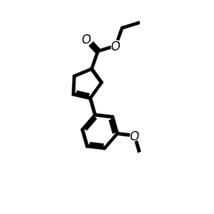 CCOC(=O)C1CC=C(c2cccc(OC)c2)C1